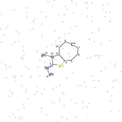 CC(C)/N=C1\SC2CCCCCCC2N1C(C)C